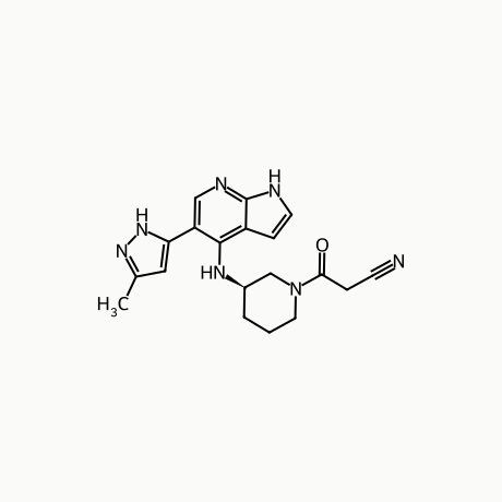 Cc1cc(-c2cnc3[nH]ccc3c2N[C@@H]2CCCN(C(=O)CC#N)C2)[nH]n1